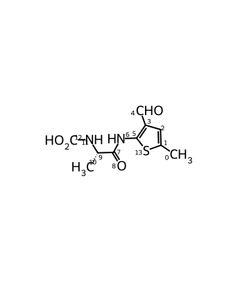 Cc1cc(C=O)c(NC(=O)[C@H](C)NC(=O)O)s1